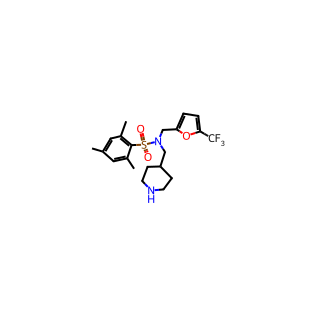 Cc1cc(C)c(S(=O)(=O)N(Cc2ccc(C(F)(F)F)o2)CC2CCNCC2)c(C)c1